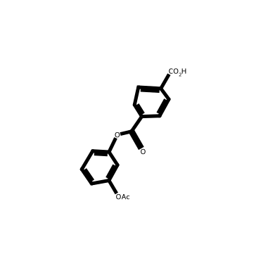 CC(=O)Oc1cccc(OC(=O)c2ccc(C(=O)O)cc2)c1